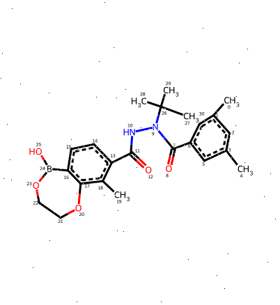 Cc1cc(C)cc(C(=O)N(NC(=O)c2ccc3c(c2C)OCCOB3O)C(C)(C)C)c1